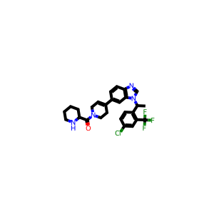 CC(c1ccc(Cl)cc1C(F)(F)F)n1cnc2ccc(C3=CCN(C(=O)C4CCCCN4)CC3)cc21